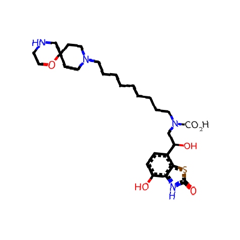 O=C(O)N(CCCCCCCCCN1CCC2(CC1)CNCCO2)CC(O)c1ccc(O)c2[nH]c(=O)sc12